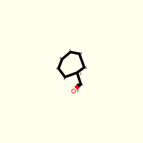 O=CC1C[CH]CCCC1